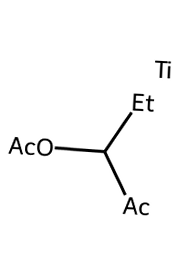 CCC(OC(C)=O)C(C)=O.[Ti]